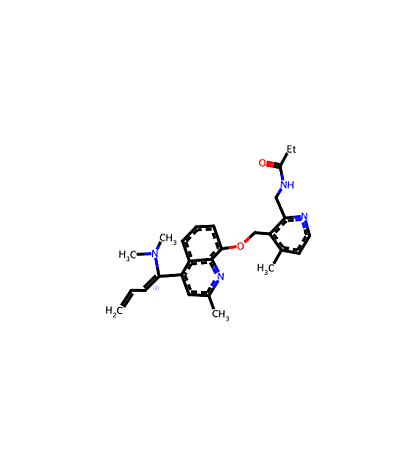 C=C/C=C(/c1cc(C)nc2c(OCc3c(C)ccnc3CNC(=O)CC)cccc12)N(C)C